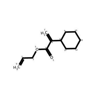 C=CCOC(=O)C(=C)C1CCCCC1